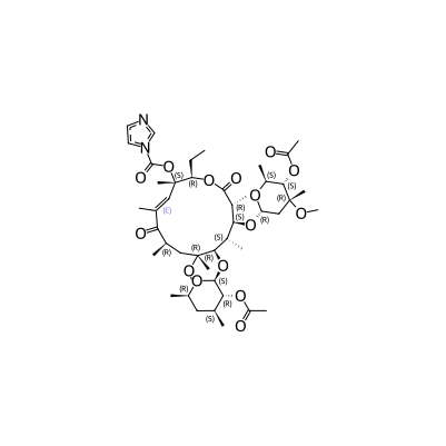 CC[C@H]1OC(=O)[C@H](C)[C@@H](O[C@H]2C[C@@](C)(OC)[C@@H](OC(C)=O)[C@H](C)O2)[C@H](C)[C@@H](O[C@@H]2O[C@H](C)C[C@H](C)[C@H]2OC(C)=O)[C@](C)(OC)C[C@@H](C)C(=O)/C(C)=C/[C@]1(C)OC(=O)n1ccnc1